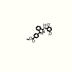 CCOC(=O)c1ccc(-c2nnc(Nc3cc(OC)ccc3OC)c3ccccc23)cc1